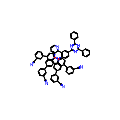 N#Cc1cccc(-c2ccc3c(c2)c2cc(-c4cccc(C#N)c4)ccc2n3-c2ccc(-c3nc(-c4ccccc4)nc(-c4ccccc4)n3)cc2-c2ncccc2-n2c3ccc(-c4cccc(C#N)c4)cc3c3cc(-c4cccc(C#N)c4)ccc32)c1